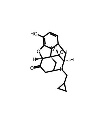 C[C@@]1(O)[C@H]2CC3C=CC(O)=C4O[C@H]5C(=O)CC(C[C@]51C43)N2CC1CC1